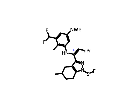 CCC/C=C(/Nc1cc(NC)cc(C(F)F)c1C)c1nn(SF)c2c1CC(C)CC2